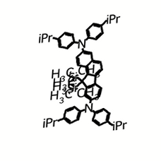 CC(C)c1ccc(N(c2ccc(C(C)C)cc2)c2ccc3c(c2)C([Si](C)(C)C)([Si](C)(C)C)c2c-3ccc3cc(N(c4ccc(C(C)C)cc4)c4ccc(C(C)C)cc4)ccc23)cc1